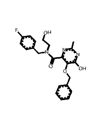 Cc1nc(O)c(OCc2ccccc2)c(C(=O)N(CCO)Cc2ccc(F)cc2)n1